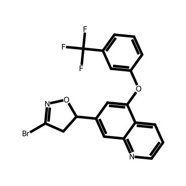 FC(F)(F)c1cccc(Oc2cc(C3CC(Br)=NO3)cc3ncccc23)c1